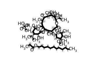 CCCCCCCCCCCCOC(=O)CC.CC[C@H]1OC(=O)[C@H](C)[C@@H](O[C@H]2C[C@@](C)(OC)[C@@H](O)[C@H](C)O2)[C@H](C)[C@@H](O[C@@H]2O[C@H](C)C[C@H](N(C)C)[C@H]2O)[C@](C)(O)C[C@@H](C)C(=O)[C@H](C)[C@@H](O)[C@]1(C)O.O=S(=O)(O)O